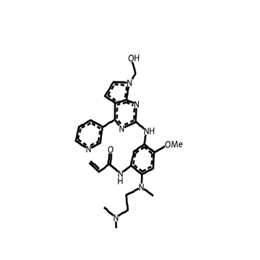 C=CC(=O)Nc1cc(Nc2nc(-c3cccnc3)c3ccn(CO)c3n2)c(OC)cc1N(C)CCN(C)C